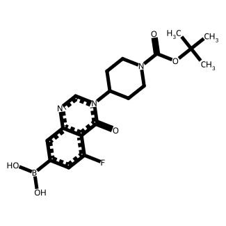 CC(C)(C)OC(=O)N1CCC(n2cnc3cc(B(O)O)cc(F)c3c2=O)CC1